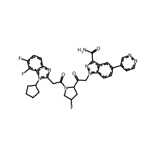 NC(=O)c1nn(CC(=O)C2CC(F)CN2C(=O)Cc2nc3ccc(F)c(F)c3n2C2CCCC2)c2ccc(-c3ccnnc3)cc12